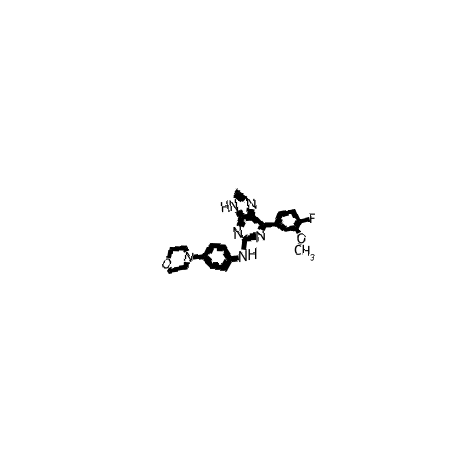 COc1cc(-c2nc(Nc3ccc(N4CCOCC4)cc3)nc3[nH]cnc23)ccc1F